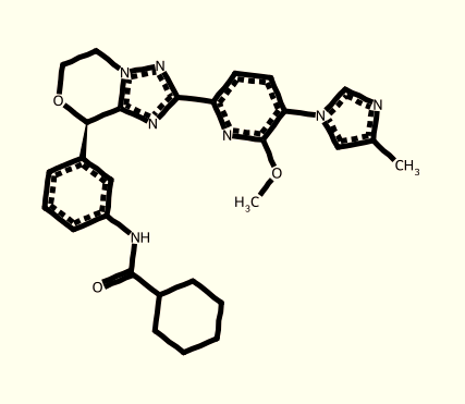 COc1nc(-c2nc3n(n2)CCO[C@@H]3c2cccc(NC(=O)C3CCCCC3)c2)ccc1-n1cnc(C)c1